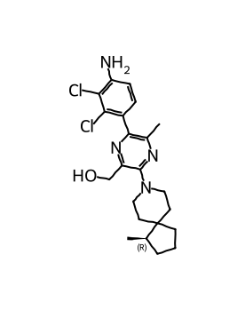 Cc1nc(N2CCC3(CCC[C@H]3C)CC2)c(CO)nc1-c1ccc(N)c(Cl)c1Cl